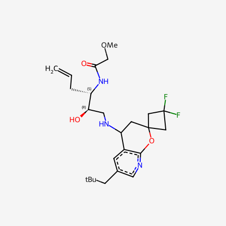 C=CC[C@H](NC(=O)COC)[C@H](O)CNC1CC2(CC(F)(F)C2)Oc2ncc(CC(C)(C)C)cc21